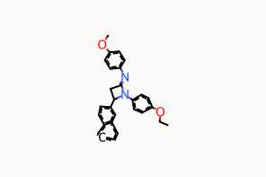 CCOc1ccc(N2/C(=N/c3ccc(OC)cc3)CC2c2ccc3ccccc3c2)cc1